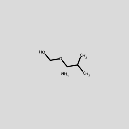 CC(C)COCO.N